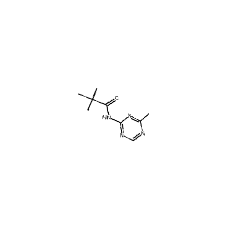 Cc1ncnc(NC(=O)C(C)(C)C)n1